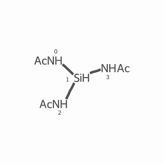 CC(=O)N[SiH](NC(C)=O)NC(C)=O